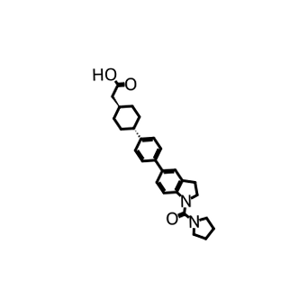 O=C(O)C[C@H]1CC[C@H](c2ccc(-c3ccc4c(c3)CCN4C(=O)N3CCCC3)cc2)CC1